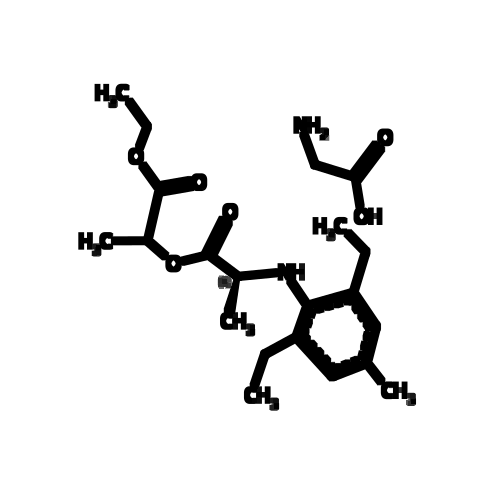 CCOC(=O)C(C)OC(=O)[C@H](C)Nc1c(CC)cc(C)cc1CC.NCC(=O)O